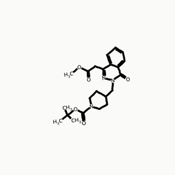 COC(=O)Cc1nn(CC2CCN(C(=O)OC(C)(C)C)CC2)c(=O)c2ccccc12